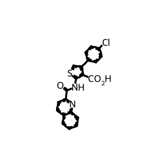 O=C(Nc1scc(-c2ccc(Cl)cc2)c1C(=O)O)c1ccc2ccccc2n1